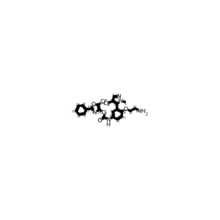 Cn1ncc(Cl)c1-c1cc(NC(=O)Oc2nc(-c3ccccc3)oc2C(F)(F)F)ccc1OCCN